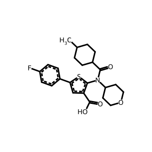 CC1CCC(C(=O)N(c2sc(-c3ccc(F)cc3)cc2C(=O)O)C2CCOCC2)CC1